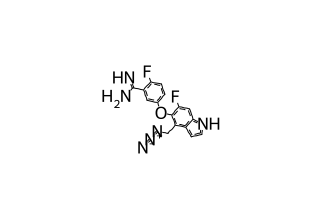 [N-]=[N+]=NCc1c(Oc2ccc(F)c(C(=N)N)c2)c(F)cc2[nH]ccc12